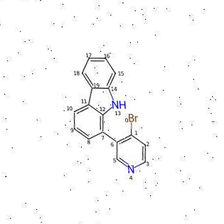 Brc1ccncc1-c1cccc2c1[nH]c1ccccc12